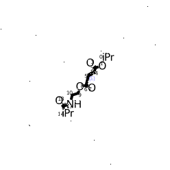 CC(C)OC(=O)/C=C/C(=O)OCCNC(=O)C(C)C